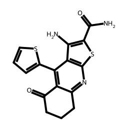 NC(=O)c1sc2nc3c(c(-c4cccs4)c2c1N)C(=O)CCC3